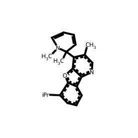 Cc1cnc2c(oc3c(C(C)C)cccc32)c1C1(C)C=CC=CN1C